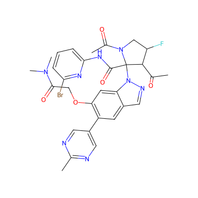 CC(=O)C1C(F)CN(C(C)=O)C1(C(=O)Nc1cccc(Br)n1)n1ncc2cc(-c3cnc(C)nc3)c(OCC(=O)N(C)C)cc21